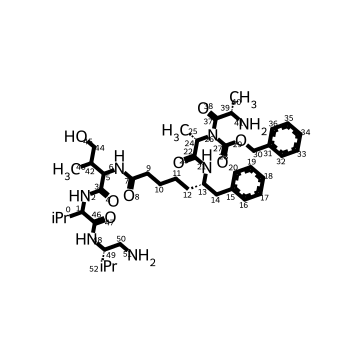 CC(C)C(NC(=O)C(NC(=O)CCCC[C@@H](Cc1ccccc1)NC(=O)[C@H](C)N(C(=O)OCc1ccccc1)C(=O)[C@H](C)N)C(C)CO)C(=O)N[C@H](CN)C(C)C